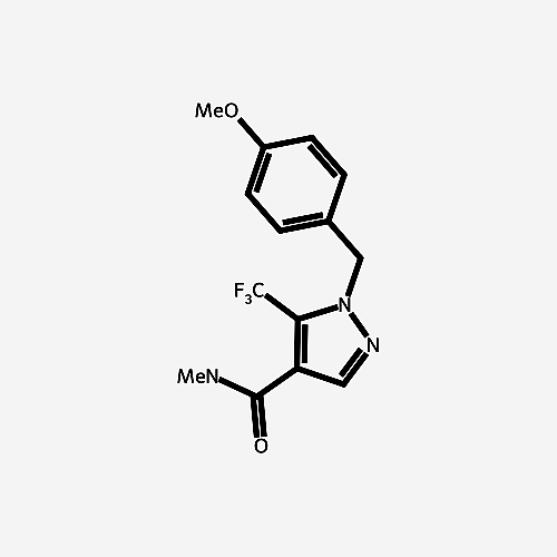 CNC(=O)c1cnn(Cc2ccc(OC)cc2)c1C(F)(F)F